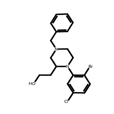 OCCC1CN(Cc2ccccc2)CCN1c1cc(Cl)ccc1Br